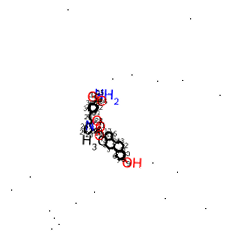 CC12CCC3c4ccc(O)cc4CCC3C1CCC2OC(=O)C1CCCN1C(=O)Cc1ccc(S(N)(=O)=O)cc1